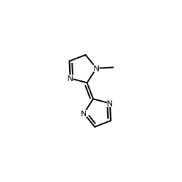 CN1CC=NC1=C1N=CC=N1